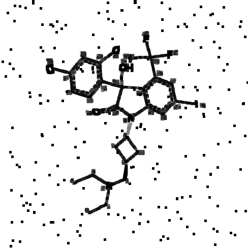 CCN(CC)C[C@H]1C[C@H](N2C(=O)C(O)(c3ccc(Cl)cc3Cl)c3c2cc(I)cc3C(F)(F)F)C1